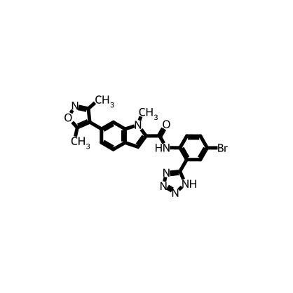 Cc1noc(C)c1-c1ccc2cc(C(=O)Nc3ccc(Br)cc3-c3nnn[nH]3)n(C)c2c1